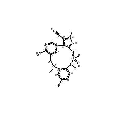 C[C@H]1Oc2nc(cnc2N)-c2c(nn(C)c2C#N)N=S(C)(=O)N(C)c2ccc(F)cc21